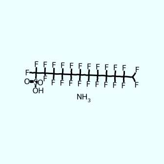 N.O=S(=O)(O)C(F)(F)C(F)(F)C(F)(F)C(F)(F)C(F)(F)C(F)(F)C(F)(F)C(F)(F)C(F)(F)C(F)(F)C(F)(F)C(F)F